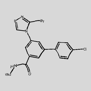 CC(C)c1nbcn1-c1cc(C(=O)NC(C)(C)C)cc(-c2ccc(Cl)cc2)c1